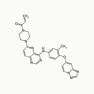 C=CC(=O)N1CCN(c2ccc3ncnc(Nc4ccc(Oc5ccn6ncnc6c5)c(C)c4)c3n2)CC1